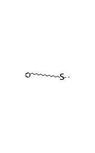 [CH2]CSCCCCCCCCCCCCCCc1ccccc1